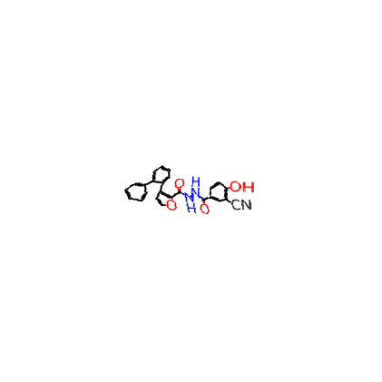 N#Cc1cc(C(=O)NNC(=O)c2occc2-c2ccccc2-c2ccccc2)ccc1O